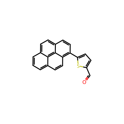 O=Cc1ccc(-c2ccc3ccc4cccc5ccc2c3c45)s1